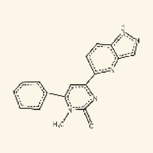 Cn1c(-c2ccccc2)cc(-c2ccc3[nH]ncc3n2)nc1=O